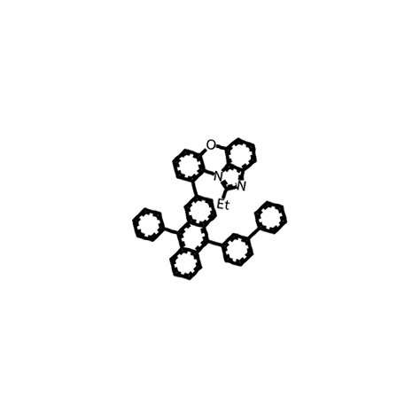 CCc1nc2cccc3c2n1-c1c(cccc1-c1ccc2c(-c4cccc(-c5ccccc5)c4)c4ccccc4c(-c4ccccc4)c2c1)O3